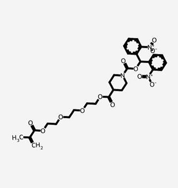 C=C(C)C(=O)OCCOCCOCCOC(=O)C1CCN(C(=O)OC(c2ccccc2[N+](=O)[O-])c2ccccc2[N+](=O)[O-])CC1